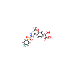 CC1(C)CC(CNS(=O)(=O)c2ccc(F)cc2)c2ccc(C(O)C(=O)O)cc2O1